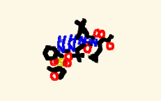 CC(=O)C(=O)C(CC1CC1)NC(=O)[C@@H]1C2C(CN1C(=O)[C@@H](NC(=O)NC1(CS(=O)(=O)c3ccoc3C)CCCCC1)C(C)(C)C)C2(C)C